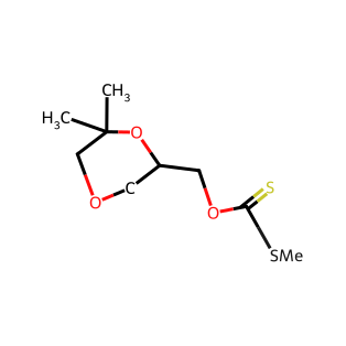 CSC(=S)OCC1COCC(C)(C)O1